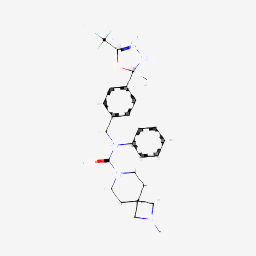 CN1CC2(CCN(C(=O)N(Cc3ccc([C@@]4(C)NN=C(C(F)(F)F)O4)cc3)c3ccccc3)CC2)C1